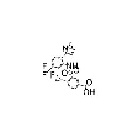 O=C(O)c1ccc(C2CC2)c(S(=O)(=O)Nc2cc(C(F)(F)F)ccc2-c2ccsn2)c1